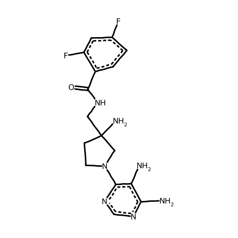 Nc1ncnc(N2CCC(N)(CNC(=O)c3ccc(F)cc3F)C2)c1N